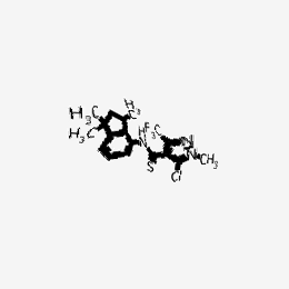 CC1CC(C)(C)c2cccc(NC(=S)c3c(C(F)(F)F)nn(C)c3Cl)c21